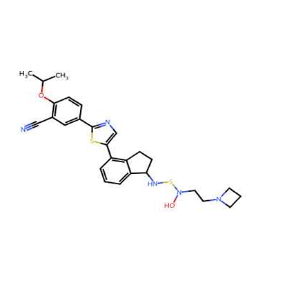 CC(C)Oc1ccc(-c2ncc(-c3cccc4c3CCC4NSN(O)CCN3CCC3)s2)cc1C#N